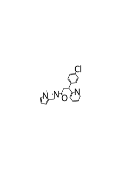 Cn1cccc1C[N]C(=O)CC(c1ccc(Cl)cc1)c1ccccn1